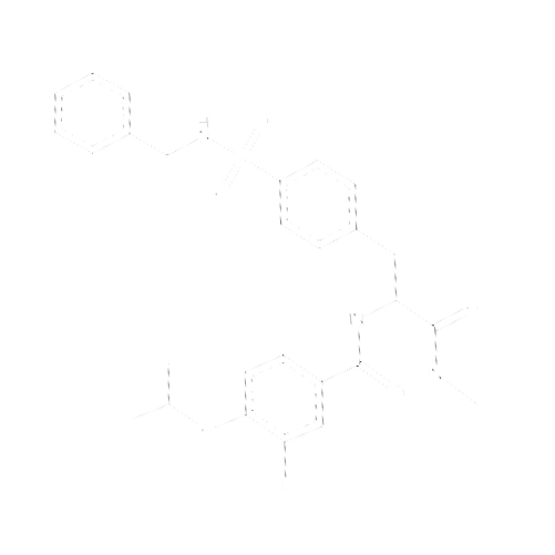 CNC(=O)C(Cc1ccc(S(=O)(=O)NCc2ccccc2)cc1)NC(=O)c1ccc(OC(C)C)c(Cl)c1